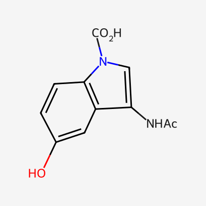 CC(=O)Nc1cn(C(=O)O)c2ccc(O)cc12